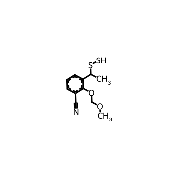 COCOc1c(C#N)cccc1C(C)SS